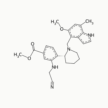 COC(=O)c1ccc([C@H]2CCCCN2Cc2c(OC)cc(C)c3[nH]ccc23)c(NCC#N)c1